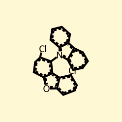 Clc1ccc2oc3cccc(Cl)c3c2c1-n1c2ccccc2c2ccccc21